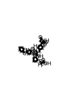 O=C(O)C(F)(F)F.O=C1CC(c2ccc(C[C@H](NS(=O)(=O)c3ccc(Oc4ccccc4)nc3)c3nc4ccccc4[nH]3)cc2)S(=O)(=O)N1